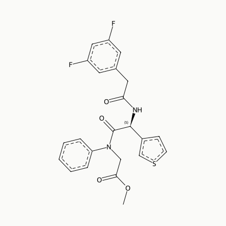 COC(=O)CN(C(=O)[C@@H](NC(=O)Cc1cc(F)cc(F)c1)c1ccsc1)c1ccccc1